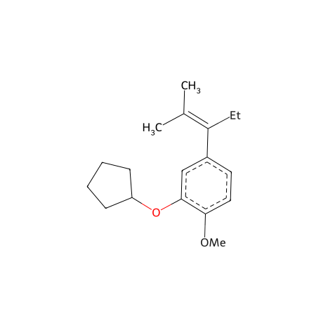 CCC(=C(C)C)c1ccc(OC)c(OC2CCCC2)c1